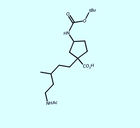 CC(=O)NCCC(C)CCC1(C(=O)O)CCC(NC(=O)OC(C)(C)C)C1